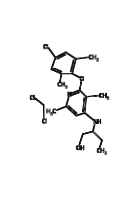 CCC(CO)Nc1cc(C)nc(Oc2c(C)cc(Cl)cc2C)c1C.ClCCl